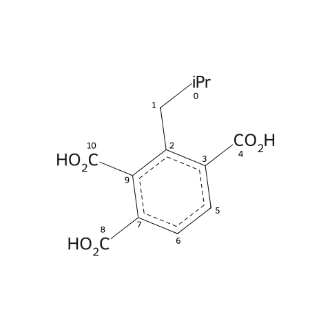 CC(C)Cc1c(C(=O)O)ccc(C(=O)O)c1C(=O)O